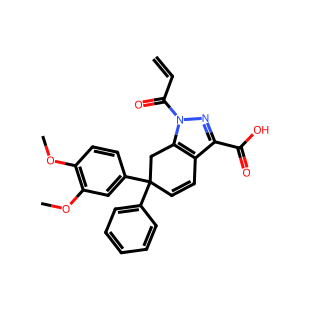 C=CC(=O)n1nc(C(=O)O)c2c1CC(c1ccccc1)(c1ccc(OC)c(OC)c1)C=C2